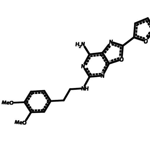 COc1ccc(CCNc2nc(N)c3nc(-c4ccco4)oc3n2)cc1OC